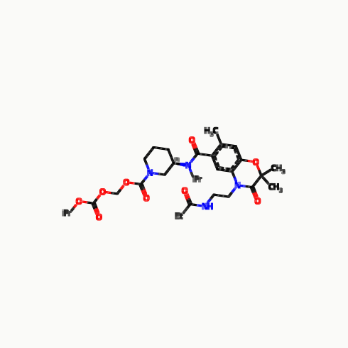 CCC(=O)NCCN1C(=O)C(C)(C)Oc2cc(C)c(C(=O)N(C(C)C)[C@@H]3CCCN(C(=O)OCOC(=O)OC(C)C)C3)cc21